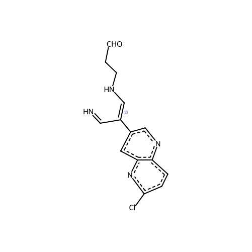 N=C/C(=C\NCCC=O)c1cnc2ccc(Cl)nc2c1